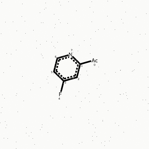 CC(=O)c1cc(F)[c]cn1